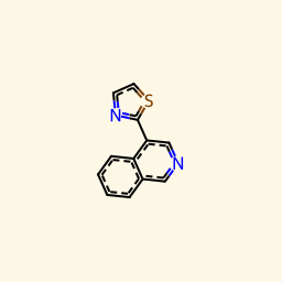 c1ccc2c(-c3nccs3)cncc2c1